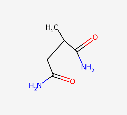 [CH2]C(CC(N)=O)C(N)=O